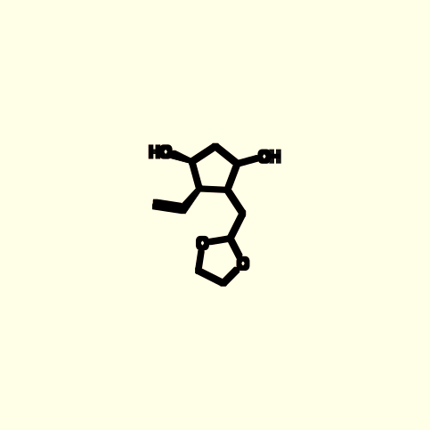 C=C[C@@H]1C(CC2OCCO2)C(O)C[C@@H]1O